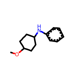 COC1CCC(Nc2ccccc2)CC1